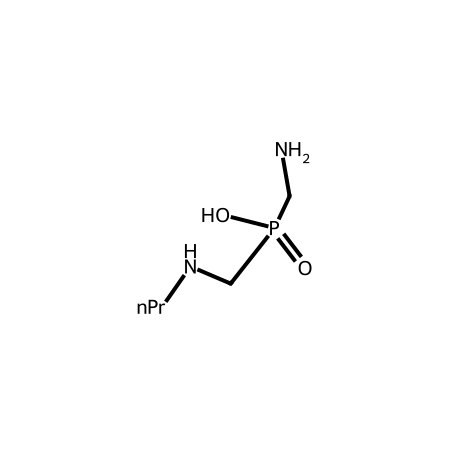 CCCNCP(=O)(O)CN